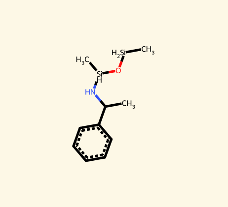 C[SiH2]O[SiH](C)NC(C)c1ccccc1